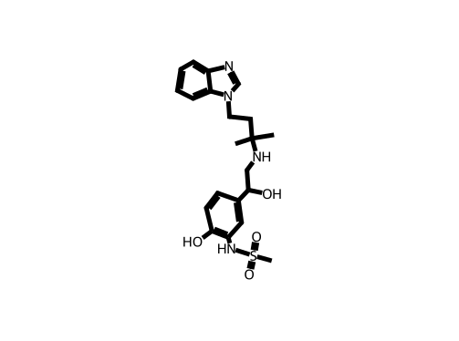 CC(C)(CCn1cnc2ccccc21)NCC(O)c1ccc(O)c(NS(C)(=O)=O)c1